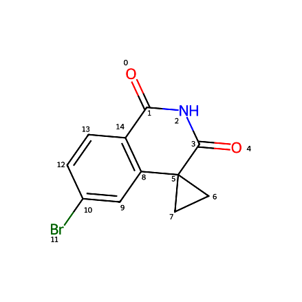 O=C1NC(=O)C2(CC2)c2cc(Br)ccc21